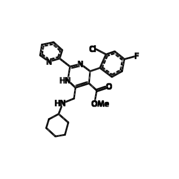 COC(=O)C1=C(CNC2CCCCC2)NC(c2ccccn2)=NC1c1ccc(F)cc1Cl